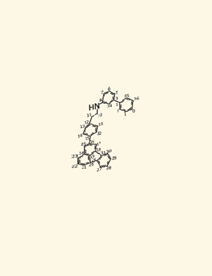 c1ccc(-c2cccc(NCCc3ccc(-c4cc5c6c(cccc6c4)-c4ccccc4-5)cc3)c2)cc1